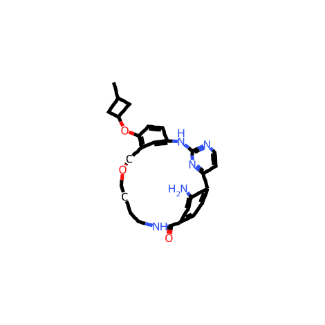 CC1CC(Oc2ccc3cc2COCCCCNC(=O)c2ccc(c(N)c2)-c2ccnc(n2)N3)C1